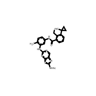 CC(=O)Nc1nc2cnc(Nc3cc(NC(=O)c4cccc(C5(C#N)CC5)c4CI)ccc3C)nc2s1